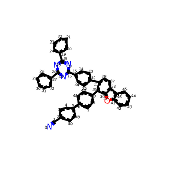 N#Cc1ccc(-c2ccc(-c3c(-c4ccc(-c5nc(-c6ccccc6)nc(-c6ccccc6)n5)cc4)ccc4c3oc3ccccc34)cc2)cc1